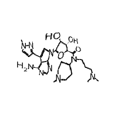 CN(C)CCCN(C(=O)[C@H]1O[C@@H](n2cc(-c3ccn(C)n3)c3c(N)ncnc32)[C@H](O)[C@@H]1O)C1CCN(C)CC1